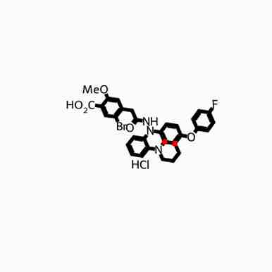 COc1cc(CC(=O)NN(c2ccc(Oc3ccc(F)cc3)cc2)c2ccccc2N2CCCCC2)c(Br)cc1C(=O)O.Cl